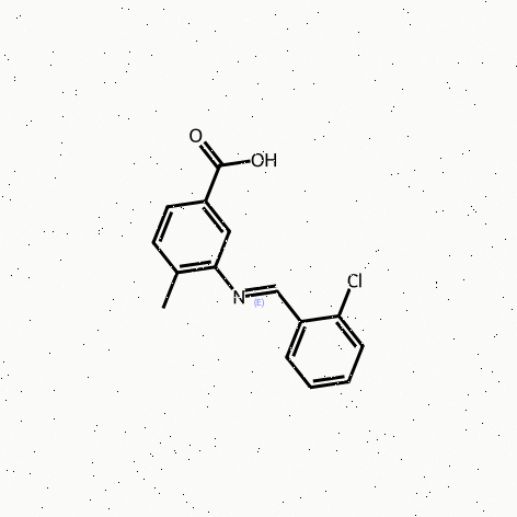 Cc1ccc(C(=O)O)cc1/N=C/c1ccccc1Cl